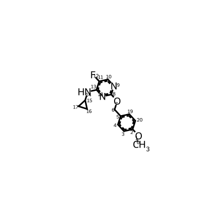 COc1ccc(COc2ncc(F)c(NC3CC3)n2)cc1